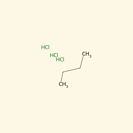 CCCC.Cl.Cl.Cl